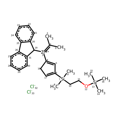 C[C](C)=[Zr+2]([C]1=CC([Si](C)(C)CCO[Si](C)(C)C)=CC1)[CH]1c2ccccc2-c2ccccc21.[Cl-].[Cl-]